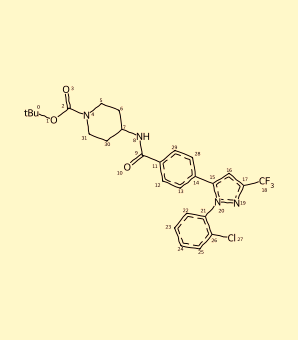 CC(C)(C)OC(=O)N1CCC(NC(=O)c2ccc(-c3cc(C(F)(F)F)nn3-c3ccccc3Cl)cc2)CC1